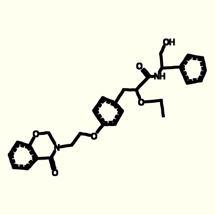 CCOC(Cc1ccc(OCCN2COc3ccccc3C2=O)cc1)C(=O)NC(CO)c1ccccc1